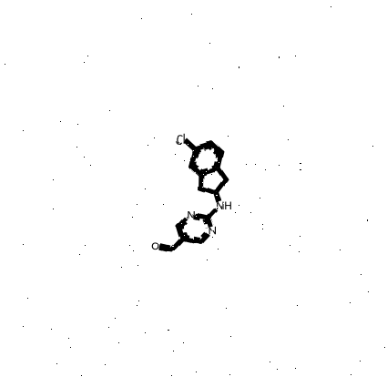 O=Cc1cnc(NC2Cc3ccc(Cl)cc3C2)nc1